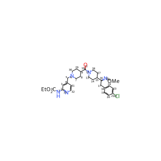 CCOC(=O)Nc1cc(CN2CCC(C(=O)N3CCC(/C(Cc4ccc(Cl)cc4)=N/OC)CC3)CC2)ccn1